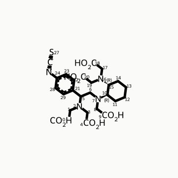 O=C(O)CN(CC(=O)O)C(CN(CC(=O)O)[C@@H]1CCCC[C@H]1N(CC(=O)O)CC(=O)O)c1ccc(N=C=S)cc1